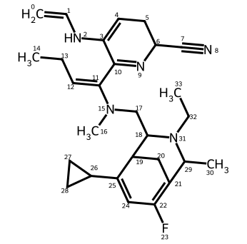 C=CNC1=CCC(C#N)N=C1/C(=C\CC)N(C)CC1C2CC(=C(F)C=C2C2CC2)C(C)N1CC